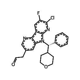 O=CCc1cnc2c3cc(F)c(Cl)nc3n([C@H](c3ccccc3)C3CCOCC3)c2c1